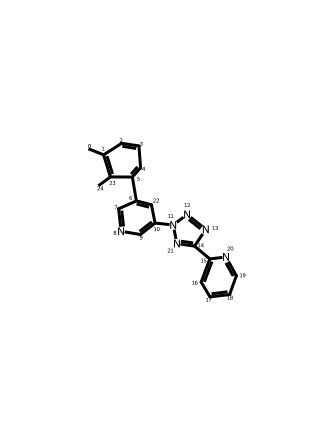 Cc1cccc(-c2cncc(-n3nnc(-c4ccccn4)n3)c2)c1C